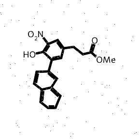 COC(=O)CCc1cc(-c2ccc3ccccc3c2)c(O)c([N+](=O)[O-])c1